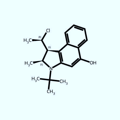 C[C@@H](Cl)[C@H]1c2c(cc(O)c3ccccc23)N(C(C)(C)C)[C@H]1C